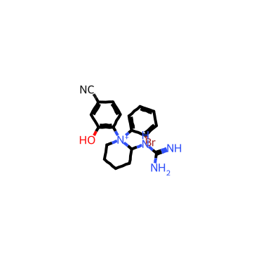 N#Cc1ccc([N+]2(c3ccccc3Br)CCCCC2NC(=N)N)c(O)c1